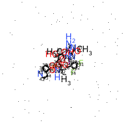 COc1nc(N)nc2c1nc(I)n2[C@@H]1OC(COP(=O)(N[C@@H](C)C(=O)OCc2ccc(F)cc2F)Oc2cccc3ncccc23)[C@@H](O)[C@@]1(C)O